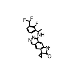 CC(Nc1nncc2cc3c(cc12)N(C)C(=O)C31CC1)c1cccc(C(F)F)c1F